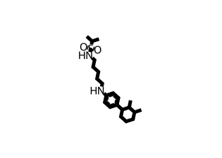 CC1CCCC(c2ccc(NCCCCCNS(=O)(=O)C(C)C)cc2)C1C